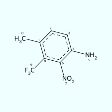 Cc1ccc(N)c([N+](=O)[O-])c1C(F)(F)F